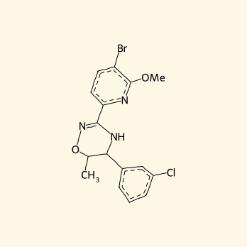 COc1nc(C2=NOC(C)C(c3cccc(Cl)c3)N2)ccc1Br